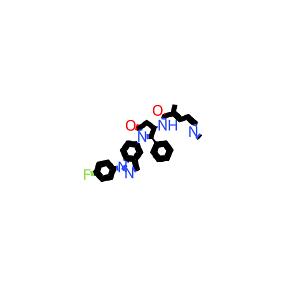 C=N/C=C\C=C(/C)C(=O)N[C@H]1CC(=O)N(c2ccc3c(cnn3-c3ccc(F)cc3)c2)[C@@H]1c1ccccc1